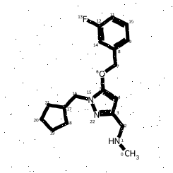 CNCc1cc(OCc2cccc(F)c2)n(CC2CCCC2)n1